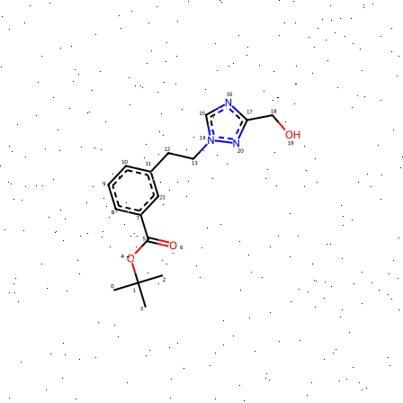 CC(C)(C)OC(=O)c1cccc(CCn2cnc(CO)n2)c1